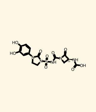 O=C(O)N[C@H]1CN(C(=O)NS(=O)(=O)N2CCN(c3ccc(O)c(O)c3)C2=O)C1=O